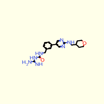 N=C(N)NC(=O)NCc1cccc(-c2cnc(NCC3CCOCC3)nc2)c1